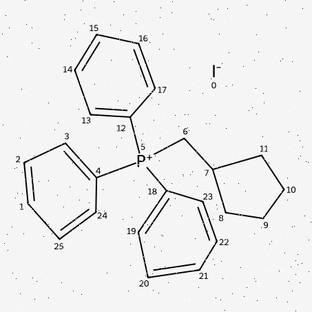 [I-].c1ccc([P+](CC2CCCC2)(c2ccccc2)c2ccccc2)cc1